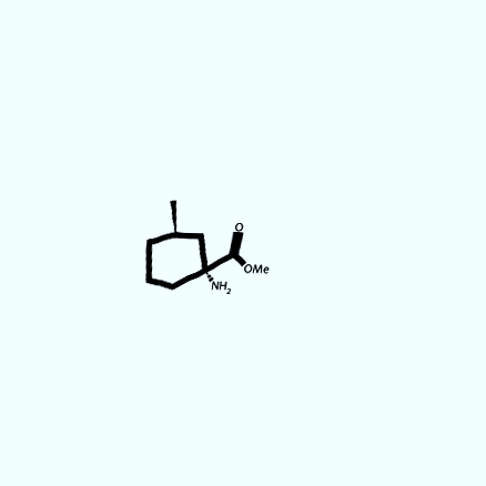 COC(=O)[C@@]1(N)CCC[C@@H](C)C1